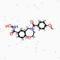 COc1ccc(C(=O)N2CCOc3ccc(C(=O)NO)cc3C2)cc1